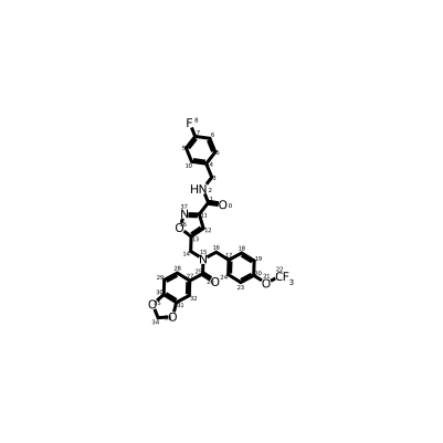 O=C(NCc1ccc(F)cc1)c1cc(CN(Cc2ccc(OC(F)(F)F)cc2)C(=O)c2ccc3c(c2)OCO3)on1